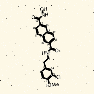 COc1ccc(CCNC(=O)c2ccc3cc(C(=O)NO)ccc3c2)cc1Cl